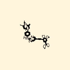 COC(=O)c1cc(C#Cc2cnc(Nc3ccc(N4CC(C)=[PH](I)[C@H](C)C4)cc3)nc2)c(Cl)c(OC)c1